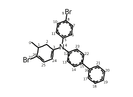 CC1CC(N(c2ccc(Br)cc2)c2ccc(-c3ccccc3)cc2)=CC=C1Br